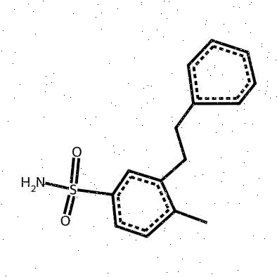 Cc1ccc(S(N)(=O)=O)cc1CCc1ccccc1